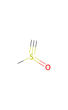 C#S(C)=O